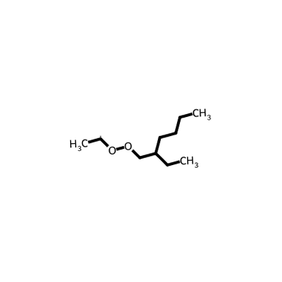 C[CH]OOCC(CC)CCCC